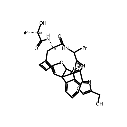 CC(C)C1NC(=O)[C@@H](NC(=O)[C@@H](O)C(C)C)Cc2ccc3c(c2)C2(c4ccccc4N(S)C2O3)c2oc1nc2-c1nc(CO)co1